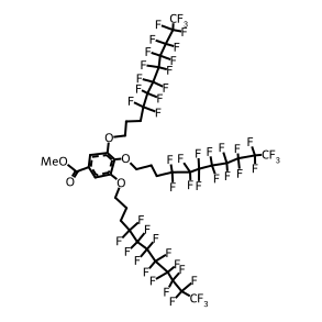 COC(=O)c1cc(OCCCC(F)(F)C(F)(F)C(F)(F)C(F)(F)C(F)(F)C(F)(F)C(F)(F)C(F)(F)F)c(OCCCC(F)(F)C(F)(F)C(F)(F)C(F)(F)C(F)(F)C(F)(F)C(F)(F)C(F)(F)F)c(OCCCC(F)(F)C(F)(F)C(F)(F)C(F)(F)C(F)(F)C(F)(F)C(F)(F)C(F)(F)F)c1